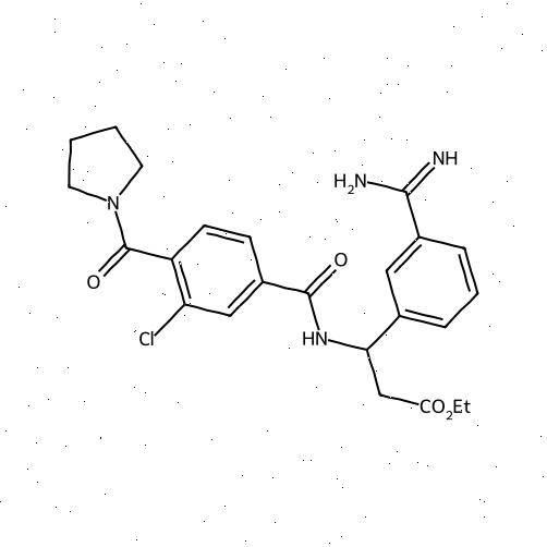 CCOC(=O)CC(NC(=O)c1ccc(C(=O)N2CCCC2)c(Cl)c1)c1cccc(C(=N)N)c1